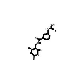 Cc1cc(C)c(CNC(=O)c2cccc(NC(=O)C(C)(C)C)c2)c(=O)[nH]1